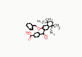 CC1(C)CCC(C)(C)c2cc(C(=O)c3ccc(C(=O)O)cc3)c(OCc3ccccc3)cc21